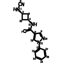 N#CN[C@H]1C[C@@H](NC(=O)c2cnn(-c3ccccc3)c2)C1